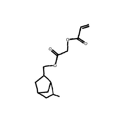 C=CC(=O)OCC(=O)OCC1CC2CC(C)C1C2